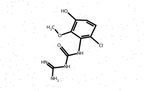 COc1c(O)ccc(Cl)c1NC(=O)NC(=N)N